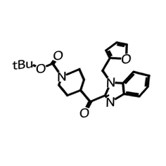 CC(C)(C)OC(=O)N1CCC(C(=O)c2nc3ccccc3n2Cc2ccco2)CC1